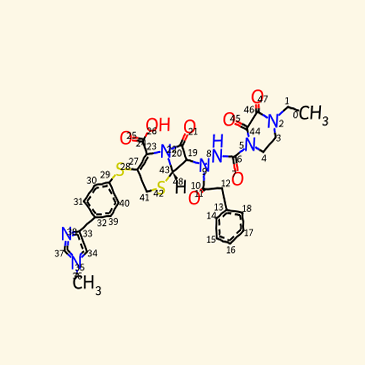 CCN1CCN(C(=O)NN(C(=O)Cc2ccccc2)C2C(=O)N3C(C(=O)O)=C(Sc4ccc(-c5cn(C)cn5)cc4)CS[C@@H]23)C(=O)C1=O